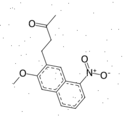 COc1cc2cccc([N+](=O)[O-])c2cc1CCC(C)=O